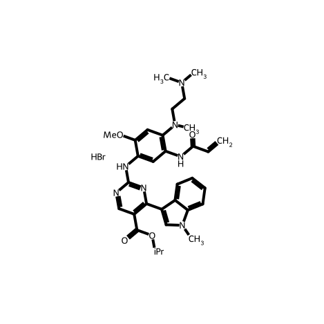 Br.C=CC(=O)Nc1cc(Nc2ncc(C(=O)OC(C)C)c(-c3cn(C)c4ccccc34)n2)c(OC)cc1N(C)CCN(C)C